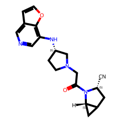 N#C[C@@H]1CC2C[C@@H]2N1C(=O)CN1CC[C@H](Nc2cncc3ccoc23)C1